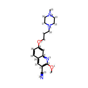 COc1nc2cc(OCCCN3CCN(C)CC3)ccc2cc1C#N